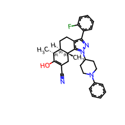 C[C@H]1C(O)=C(C#N)C[C@@]2(C)c3c(c(-c4ccccc4F)nn3C3CCN(c4ccccc4)CC3)CC[C@H]12